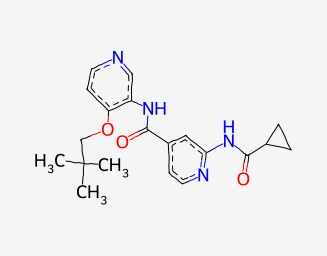 CC(C)(C)COc1ccncc1NC(=O)c1ccnc(NC(=O)C2CC2)c1